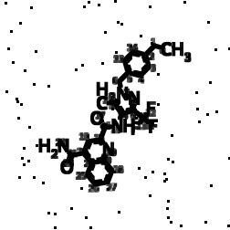 CCc1ccc(Cn2nc(C(F)(F)F)c(NC(=O)c3cc(C(N)=O)c4ccccc4n3)c2C)cc1